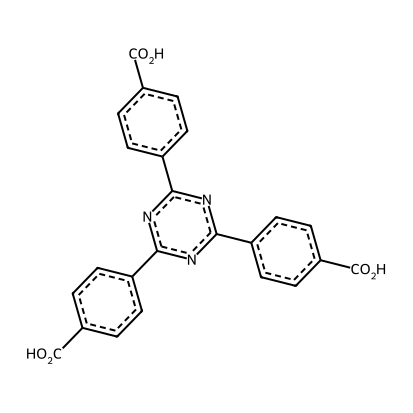 O=C(O)c1ccc(-c2nc(-c3ccc(C(=O)O)cc3)nc(-c3ccc(C(=O)O)cc3)n2)cc1